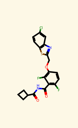 O=C(NC(=O)C1CCC1)c1c(F)ccc(OCc2nc3cc(Cl)ccc3s2)c1F